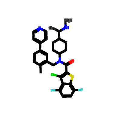 Cc1ccc(-c2ccncc2)cc1CN(C(=O)c1sc2c(F)ccc(F)c2c1Cl)C1CCC(C(NC(=O)O)C(C)(C)C)CC1